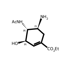 CCOC(=O)C1=C[C@@H](O)[C@H](NC(C)=O)[C@@H](N)C1